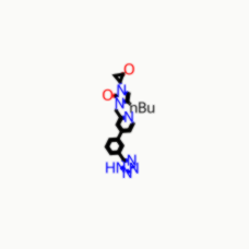 CCCCc1cn(C2CC2=O)c(=O)n1Cc1cc(-c2cccc(-c3nnn[nH]3)c2)ccn1